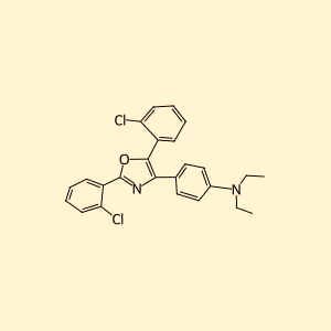 CCN(CC)c1ccc(-c2nc(-c3ccccc3Cl)oc2-c2ccccc2Cl)cc1